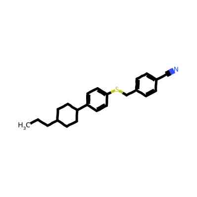 CCCC1CCC(c2ccc(SCc3ccc(C#N)cc3)cc2)CC1